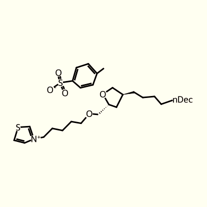 CCCCCCCCCCCCCC[C@@H]1CO[C@@H](COCCCCC[n+]2ccsc2)C1.Cc1ccc(S(=O)(=O)[O-])cc1